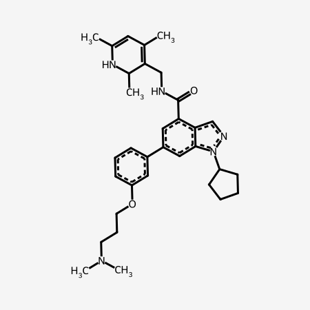 CC1=CC(C)=C(CNC(=O)c2cc(-c3cccc(OCCCN(C)C)c3)cc3c2cnn3C2CCCC2)C(C)N1